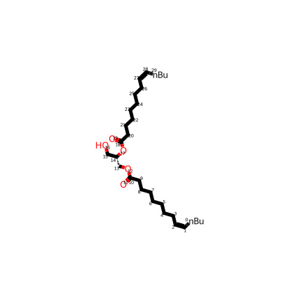 CCCC/C=C\CCCCCCCC(=O)OC[C@H](CO)OC(=O)CCCCCCC/C=C\CCCC